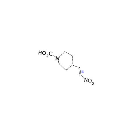 O=C(O)N1CCC(/C=C/[N+](=O)[O-])CC1